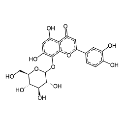 O=c1cc(-c2ccc(O)c(O)c2)oc2c(OC3O[C@H](CO)[C@@H](O)[C@H](O)[C@H]3O)c(O)cc(O)c12